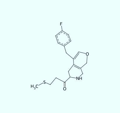 CSCCC(=O)C1CC2=C(CN1)COC=C2Cc1ccc(F)cc1